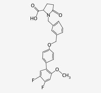 COc1cc(F)c(F)cc1-c1ccc(OCc2cccc(CN3C(=O)CCC3C(=O)O)c2)cc1